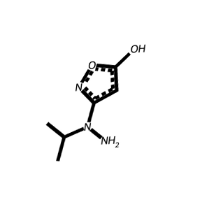 CC(C)N(N)c1cc(O)on1